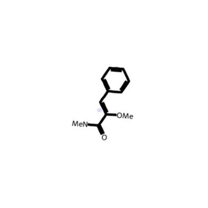 CNC(=O)/C(=C/c1ccccc1)OC